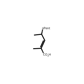 CCCCCC(C)C=C(C)C(=O)O